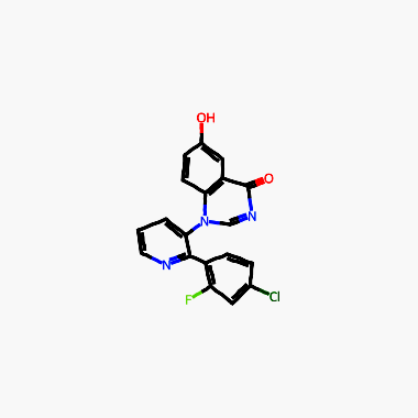 O=c1ncn(-c2cccnc2-c2ccc(Cl)cc2F)c2ccc(O)cc12